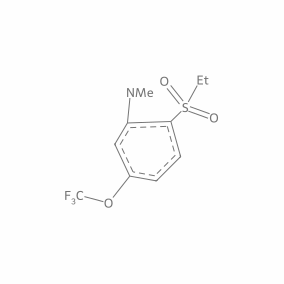 CCS(=O)(=O)c1ccc(OC(F)(F)F)cc1NC